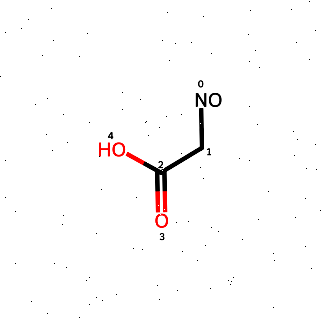 O=NCC(=O)O